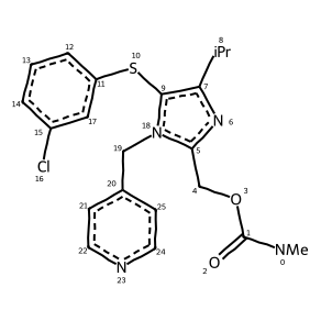 CNC(=O)OCc1nc(C(C)C)c(Sc2cccc(Cl)c2)n1Cc1ccncc1